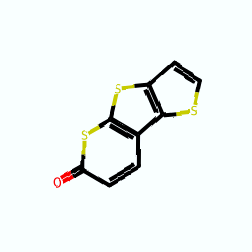 O=c1ccc2c(s1)sc1ccsc12